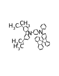 CCC(C)c1ccc2c(c1)c1cc(C(C)CC)ccc1n2-c1ccc(N(c2ccccc2)c2ccc3c(c2)C2(c4ccccc4-c4ccccc42)c2ccccc2-3)cc1